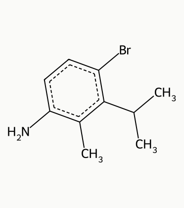 Cc1c(N)ccc(Br)c1C(C)C